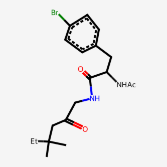 CCC(C)(C)CC(=O)CNC(=O)C(Cc1ccc(Br)cc1)NC(C)=O